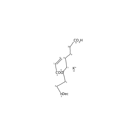 C=CC(=O)[O-].CCCCCCCCCCCCCCCCCC(=O)O.[K+]